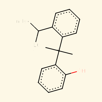 CCCCCCC(CC)c1ccccc1C(C)(C)c1ccccc1O